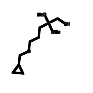 CO[Si](CO)(CCCOCC1CC1)OC